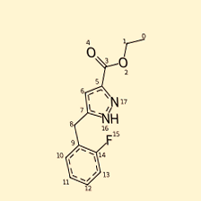 CCOC(=O)c1cc(Cc2ccccc2F)[nH]n1